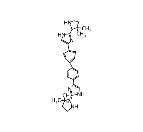 CC1(C)CCNC1c1nc(-c2ccc(-c3ccc(-c4c[nH]c([C@@H]5NCCC5(C)C)n4)cc3)cc2)c[nH]1